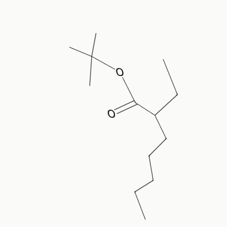 CCCCCC(CC)C(=O)OC(C)(C)C